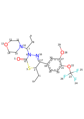 CCC1SC(=O)N(C(CC)N2CCOCC2)N=C1c1ccc(OC(F)(F)F)c(OC)c1